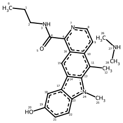 CCCNC(=O)c1nccc2c(C)c3c(cc12)c1cc(O)ccc1n3C.CNC